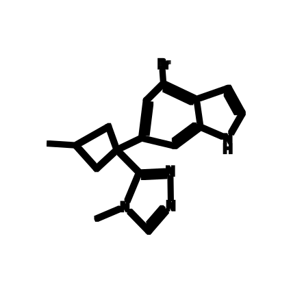 CC1CC(c2cc(Br)c3cc[nH]c3c2)(c2nncn2C)C1